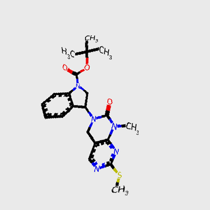 CSc1ncc2c(n1)N(C)C(=O)N(C1CN(C(=O)OC(C)(C)C)c3ccccc31)C2